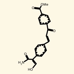 COC(=O)c1ccc(C(=O)/C=C/c2ccc(/C(=C/O)C(N)=O)cc2)cc1